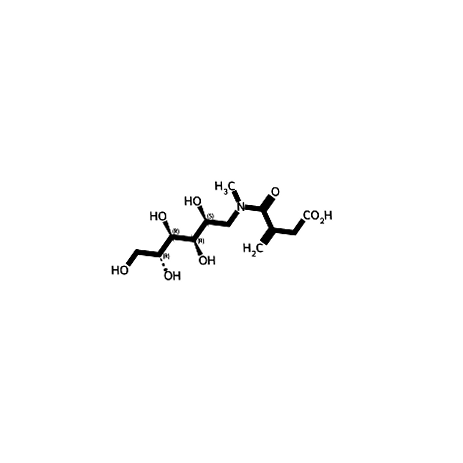 C=C(CC(=O)O)C(=O)N(C)C[C@H](O)[C@@H](O)[C@H](O)[C@H](O)CO